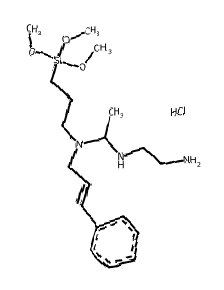 CO[Si](CCCN(CC=Cc1ccccc1)C(C)NCCN)(OC)OC.Cl